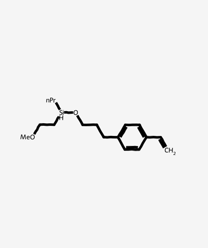 C=Cc1ccc(CCCO[SiH](CCC)CCOC)cc1